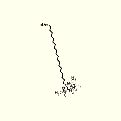 CCCCCCCCCCCCCCCCCCCCCCCCCCCCCC[Si](C)(O[Si](C)(C)C)O[Si](C)(C)C